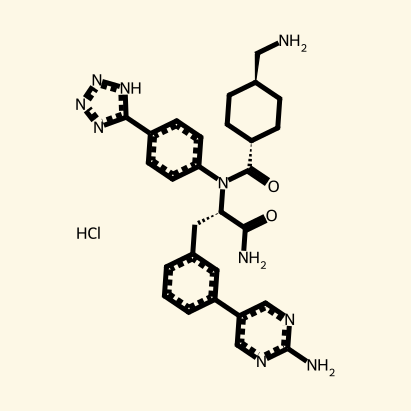 Cl.NC[C@H]1CC[C@H](C(=O)N(c2ccc(-c3nnn[nH]3)cc2)[C@@H](Cc2cccc(-c3cnc(N)nc3)c2)C(N)=O)CC1